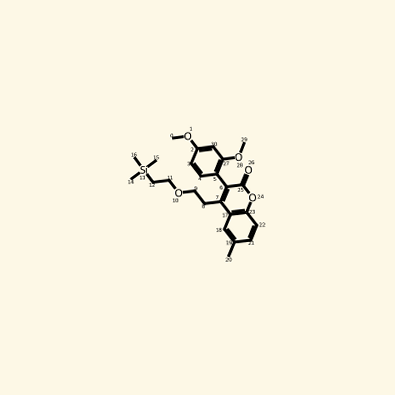 COc1ccc(-c2c(CCOCC[Si](C)(C)C)c3cc(C)ccc3oc2=O)c(OC)c1